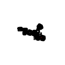 C[C@@H](OCC12CCC(CC1)OC2)[C@@H](COC1CCN(C(=O)OC(C)(C)C)CC1)NC(=O)OCc1ccccc1